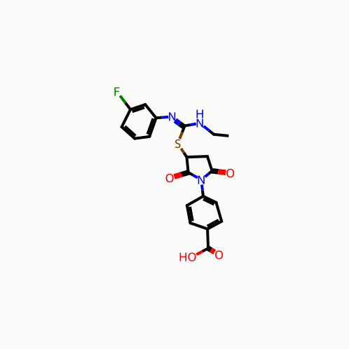 CCN/C(=N/c1cccc(F)c1)SC1CC(=O)N(c2ccc(C(=O)O)cc2)C1=O